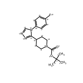 CC(C)(C)OC(=O)N1CCC(c2nncn2-c2ccc(F)cc2)CC1